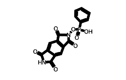 O=c1[nH]c(=O)c2cc3c(=O)n(OP(=O)(O)c4ccccc4)c(=O)c3cc12